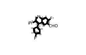 CC(C)c1cnc2cc(F)c(C=O)cc2c1-c1ccc(F)cc1